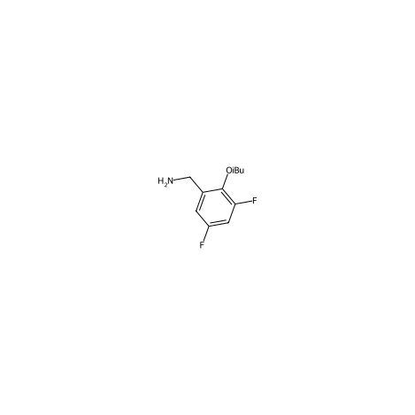 CC(C)COc1c(F)cc(F)cc1CN